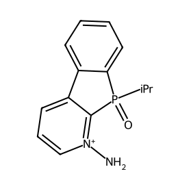 CC(C)P1(=O)c2ccccc2-c2ccc[n+](N)c21